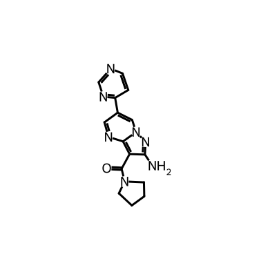 Nc1nn2cc(-c3ccncn3)cnc2c1C(=O)N1CCCC1